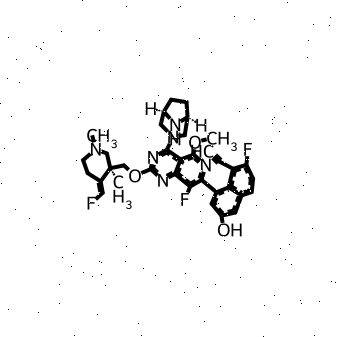 C#Cc1c(F)ccc2cc(O)cc(-c3nc(OC)c4c(N5C[C@H]6CC[C@@H](C5)N6)nc(OC[C@]5(C)CN(C)CC/C5=C\F)nc4c3F)c12